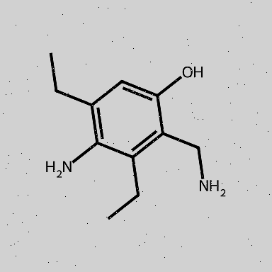 CCc1cc(O)c(CN)c(CC)c1N